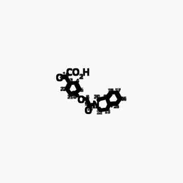 O=C(O)C(=O)c1ccc(OCC(=O)N2CCc3ccccc3C2)cc1